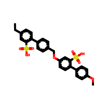 CCc1ccc(-c2ccc(COc3ccc(-c4ccc(OC)cc4)c(S(=O)(=O)O)c3)cc2)c(S(=O)(=O)O)c1